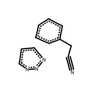 N#CCc1ccccc1.c1cnnnc1